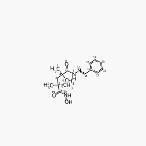 CC(C)(CC(C)(C)C(=O)N/N=C/c1ccccc1)C(=O)NO